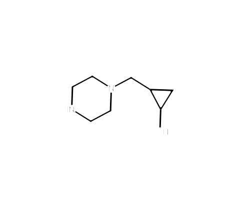 CC1CC1CN1CCNCC1